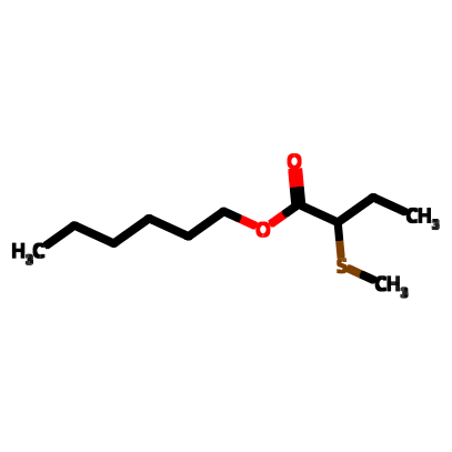 CCCCCCOC(=O)C(CC)SC